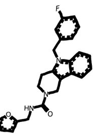 O=C(NCc1ccco1)N1CCc2c(c3ccccc3n2Cc2cccc(F)c2)C1